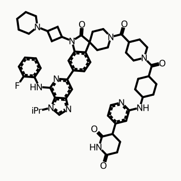 CC(C)n1cnc2cc(-c3ccc4c(c3)N(C3CC(N5CCCCC5)C3)C(=O)C43CCN(C(=O)C4CCN(C(=O)C5CCC(Nc6cc(C7CCC(=O)NC7=O)ccn6)CC5)CC4)CC3)nc(Nc3ccccc3F)c21